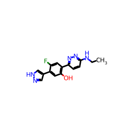 CCNc1ccc(-c2cc(F)c(-c3cn[nH]c3)cc2O)nn1